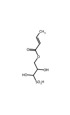 CC=CC(=O)OCC(O)C(O)S(=O)(=O)O